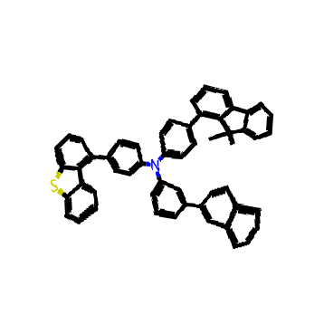 CC1(C)c2ccccc2-c2cccc(-c3ccc(N(c4ccc(-c5cccc6sc7ccccc7c56)cc4)c4cccc(-c5ccc6ccccc6c5)c4)cc3)c21